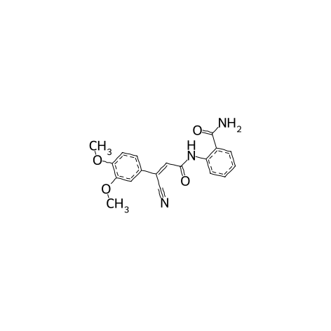 COc1ccc(/C(C#N)=C/C(=O)Nc2ccccc2C(N)=O)cc1OC